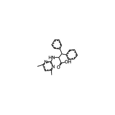 Cc1cc(C)nc(NC(C(=O)O)C(c2ccccc2)c2ccccc2)n1